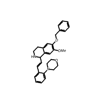 COc1cc2c(cc1OCc1ccccc1)CCNC2/C=C/c1ccccc1N1CCOCC1